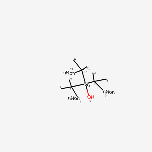 CCCCCCCCCC(C)(C)[Si](O)(C(C)(C)CCCCCCCCC)C(C)(C)CCCCCCCCC